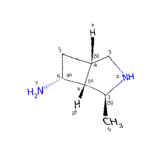 C[C@@H]1NC[C@H]2C[C@@H](N)[C@H]21